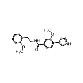 COc1ccccc1CCNC(=O)c1ccc(-c2cn[nH]c2)c(OC)c1